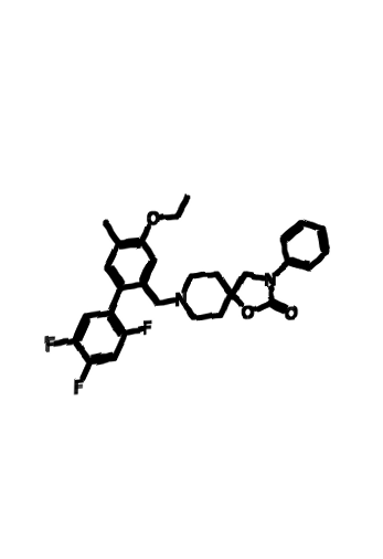 CCOc1cc(CN2CCC3(CC2)CN(c2ccccc2)C(=O)O3)c(-c2cc(F)c(F)cc2F)cc1C